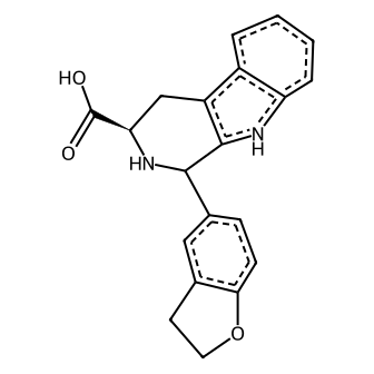 O=C(O)[C@H]1Cc2c([nH]c3ccccc23)C(c2ccc3c(c2)CCO3)N1